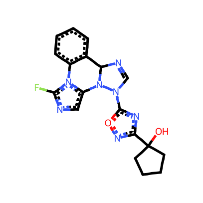 OC1(c2noc(N3C=NC4c5ccccc5-n5c(cnc5F)N43)n2)CCCC1